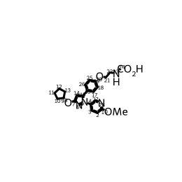 COc1ccc(-n2nc(OC3CCCC3)cc2-c2ccc(OCCNC(=O)O)cc2)cn1